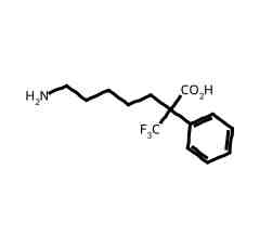 NCCCCCC(C(=O)O)(c1ccccc1)C(F)(F)F